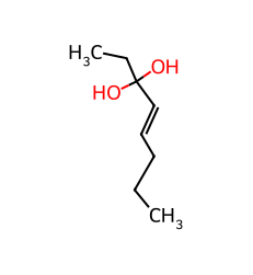 CCCC=CC(O)(O)CC